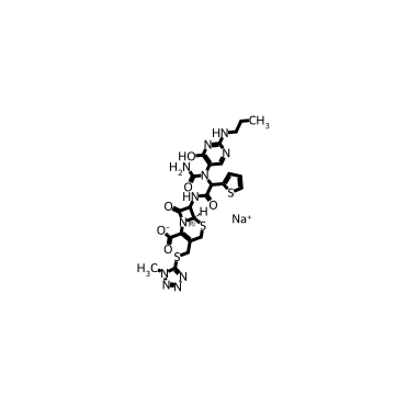 CCCNc1ncc(N(C(N)=O)C(C(=O)NC2C(=O)N3C(C(=O)[O-])=C(CSc4nnnn4C)CS[C@H]23)c2cccs2)c(O)n1.[Na+]